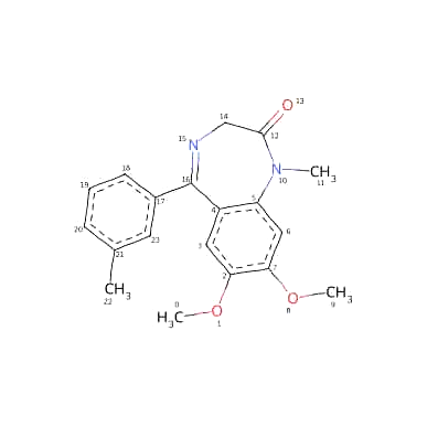 COc1cc2c(cc1OC)N(C)C(=O)CN=C2c1cccc(C)c1